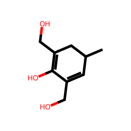 CC1C=C(CO)C(O)=C(CO)C1